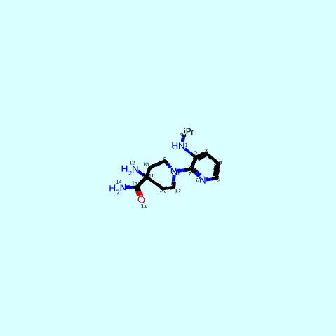 CC(C)Nc1cccnc1N1CCC(N)(C(N)=O)CC1